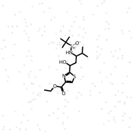 CCOC(=O)c1csc(C(O)CC(N[S@@+]([O-])C(C)(C)C)C(C)C)n1